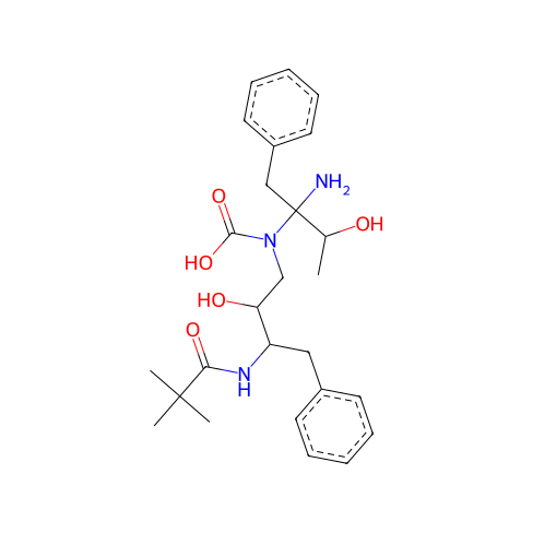 CC(O)C(N)(Cc1ccccc1)N(CC(O)C(Cc1ccccc1)NC(=O)C(C)(C)C)C(=O)O